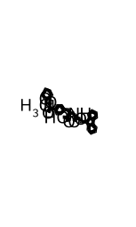 CN(OC1CCCCO1)C(=O)c1ccc(CC(NC(=O)OCC2c3ccccc3-c3ccccc32)C(=O)O)cc1